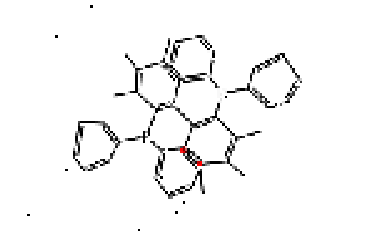 Cc1cc(-c2cc(C)c(C)c(C)c2P(c2ccccc2)c2ccccc2)c(P(c2ccccc2)c2ccccc2)c(C)c1C